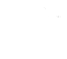 N=C(N)c1ccc(OCCBr)cc1